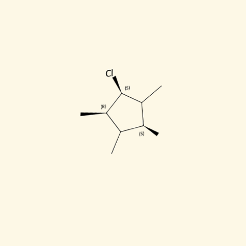 CC1[C@H](C)C(C)[C@H](Cl)[C@@H]1C